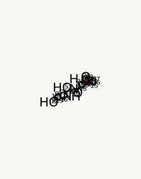 O=C(NC[C@@H](O)[C@@H]1Cc2ccc(O)cc2CN1)c1ccc(C(=O)N2C3CCCC2COC3)cc1